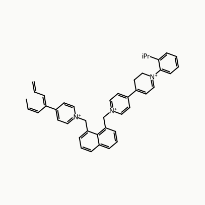 C=C/C=C(\C=C/C)c1cc[n+](Cc2cccc3cccc(C[n+]4ccc(C5=CC=[N+](c6ccccc6C(C)C)CC5)cc4)c23)cc1